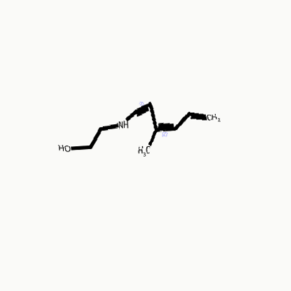 C=C/C=C(C)\C=C/NCCO